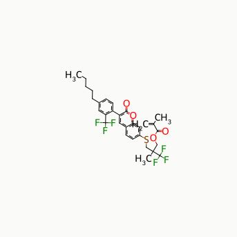 C=C(C)C(=O)OCC(C)(CSc1ccc2cc(-c3ccc(CCCCC)cc3C(F)(F)F)c(=O)oc2c1)C(F)(F)F